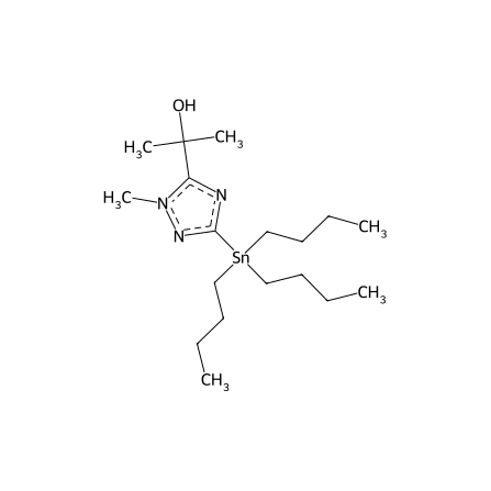 CCC[CH2][Sn]([CH2]CCC)([CH2]CCC)[c]1nc(C(C)(C)O)n(C)n1